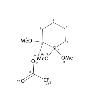 CCCC1(OC)CCCC[Si]1(OC)OC.[O]C(=O)C(F)(F)F